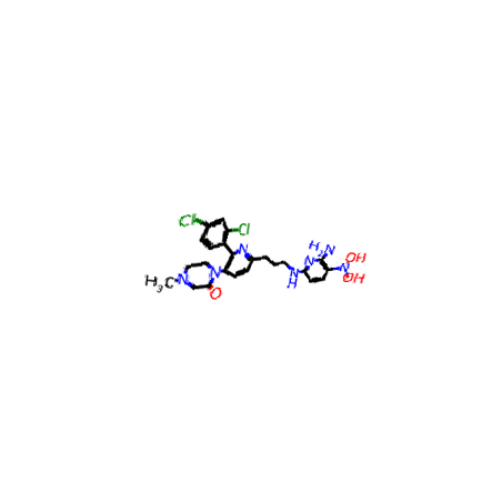 CN1CCN(c2ccc(CCCNc3ccc(N(O)O)c(N)n3)nc2-c2ccc(Cl)cc2Cl)C(=O)C1